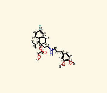 COCC(=O)O[C@@]1(CCNCCCc2ccc(OC)c(OC)c2)CCc2cc(F)ccc2[C@H]1C(C)C